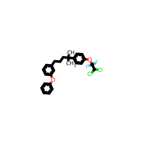 CC(C)(CCCc1cccc(Oc2ccccc2)c1)c1ccc(OC(F)(F)C(Cl)Cl)cc1